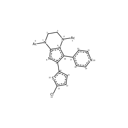 CC(=O)N1CCN(C(C)=O)n2c1nc(-c1ccc(Cl)s1)c2-c1ccncc1